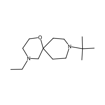 CCN1CCOC2(CCN(C(C)(C)C)CC2)C1